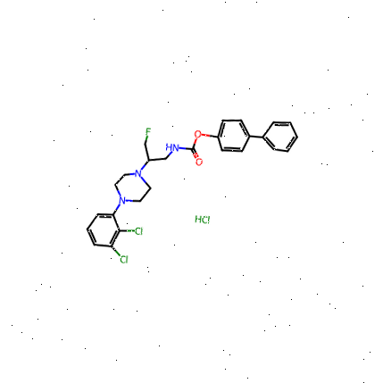 Cl.O=C(NCC(CF)N1CCN(c2cccc(Cl)c2Cl)CC1)Oc1ccc(-c2ccccc2)cc1